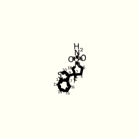 NS(=O)(=O)N1CCC(F)(c2csc3ccccc23)C1